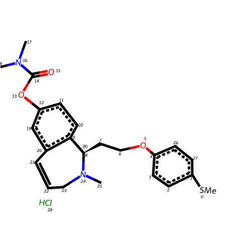 CSc1ccc(OCC[C@@H]2c3ccc(OC(=O)N(C)C)cc3C=CCN2C)cc1.Cl